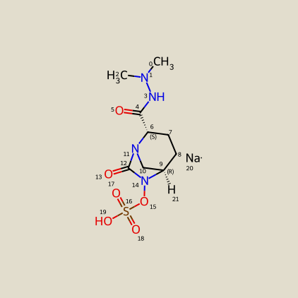 CN(C)NC(=O)[C@@H]1CC[C@@H]2CN1C(=O)N2OS(=O)(=O)O.[Na]